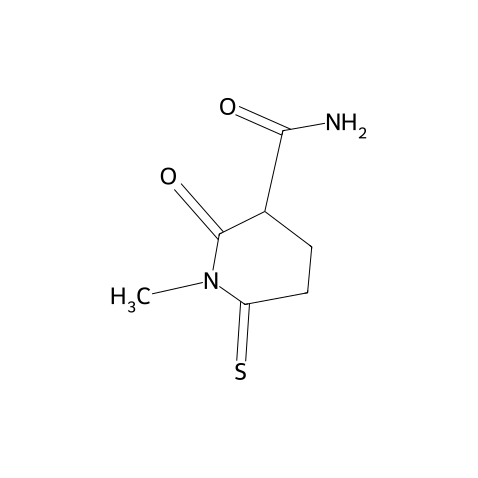 CN1C(=O)C(C(N)=O)CCC1=S